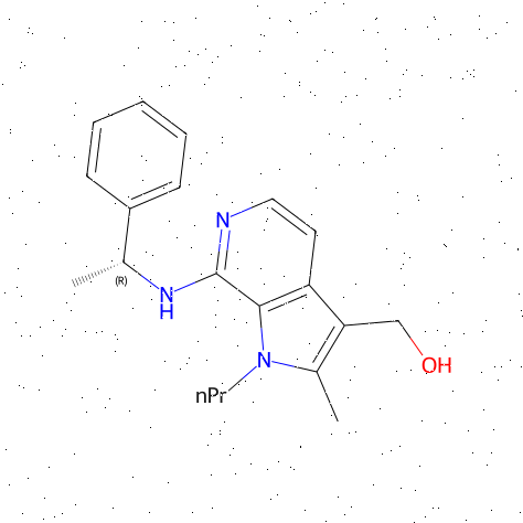 CCCn1c(C)c(CO)c2ccnc(N[C@H](C)c3ccccc3)c21